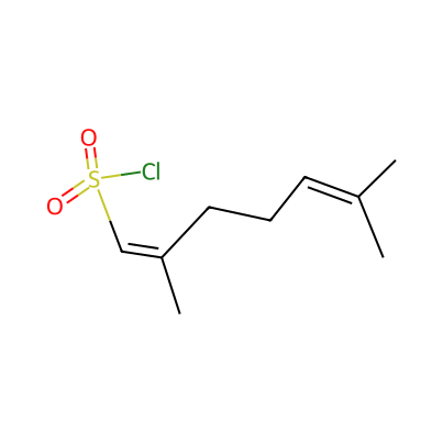 CC(C)=CCC/C(C)=C\S(=O)(=O)Cl